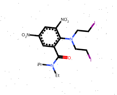 [CH2]CN(C(=O)c1cc([N+](=O)[O-])cc([N+](=O)[O-])c1N(CCI)CCI)C(C)C